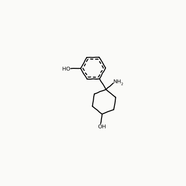 NC1(c2cccc(O)c2)CCC(O)CC1